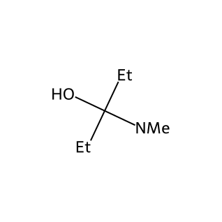 CCC(O)(CC)NC